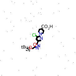 CC(C)(C)[Si](C)(C)OCc1nnc(-c2cnc(N3CC=C(C(=O)O)CC3)c(Cl)c2)o1